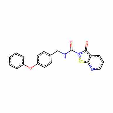 O=C(NCc1ccc(Oc2ccccc2)cc1)n1sc2ncccc2c1=O